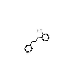 Oc1ccccc1CCCc1ccccc1